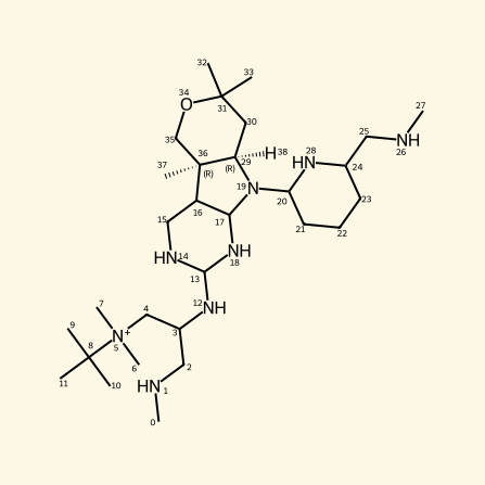 CNCC(C[N+](C)(C)C(C)(C)C)NC1NCC2C(N1)N(C1CCCC(CNC)N1)[C@@H]1CC(C)(C)OC[C@]21C